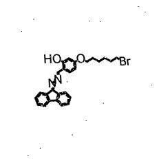 Oc1cc(OCCCCCCBr)ccc1C=NN=C1c2ccccc2-c2ccccc21